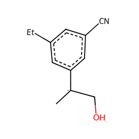 CCc1cc(C#N)cc([C](C)CO)c1